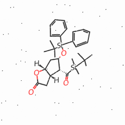 CC(C)(C)[Si](C)(C)C(=O)[C@@H]1[C@@H]2CC(=O)O[C@@H]2C[C@@H]1O[Si](c1ccccc1)(c1ccccc1)C(C)(C)C